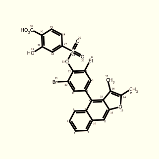 CCc1cc(-c2c3ccccc3cc3oc(C)c(C)c23)cc(Br)c1OS(=O)(=O)c1ccc(C(=O)O)c(O)c1